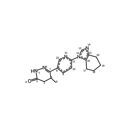 CC1CC(=O)NN=C1c1ccc(-n2cnc3c2CCCC3)nc1